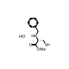 COC(=O)[C@@H](CS)NCc1ccccc1.Cl